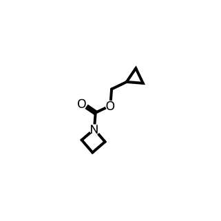 O=C(OCC1CC1)N1CCC1